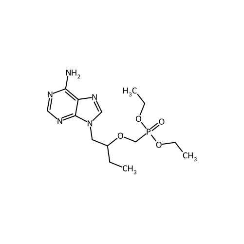 CCOP(=O)(COC(CC)Cn1cnc2c(N)ncnc21)OCC